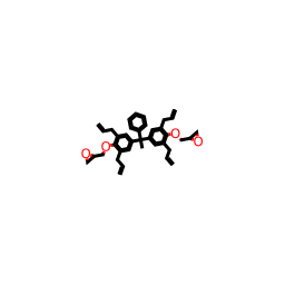 C=CCc1cc(C(C)(c2ccccc2)c2cc(CC=C)c(OCC3CO3)c(CC=C)c2)cc(CC=C)c1OCC1CO1